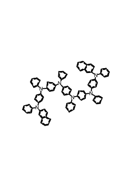 c1ccc(N(c2ccc(N(c3ccccc3)c3ccc(N(c4ccccc4)c4ccc(N(c5ccccc5)c5ccc6ccccc6c5)cc4)cc3)cc2)c2ccc(N(c3ccccc3)c3ccc(N(c4ccccc4)c4ccc5ccccc5c4)cc3)cc2)cc1